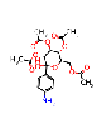 CC(=O)OC[C@H]1O[C@](O)(c2ccc(N)cc2)[C@H](OC(C)=O)[C@@H](OC(C)=O)[C@@H]1OC(C)=O